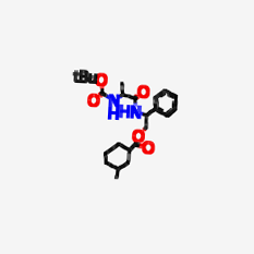 CC1CCCC(C(=O)OCC(NC(=O)C(C)NC(=O)OC(C)(C)C)c2ccccc2)C1